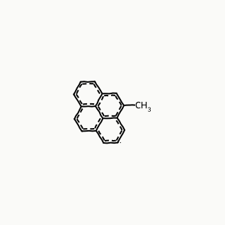 Cc1cc2cccc3ccc4c[c]cc1c4c32